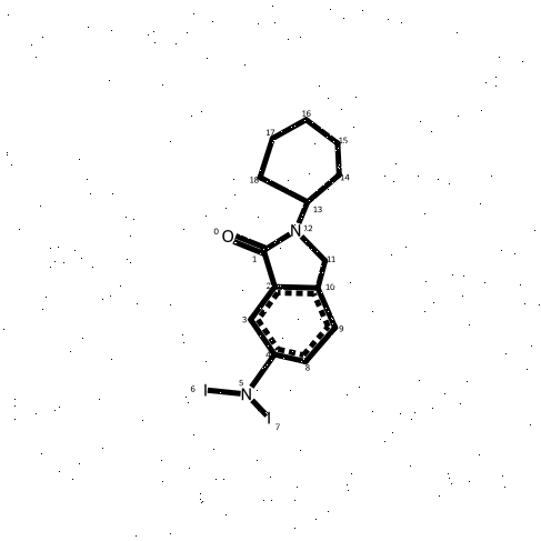 O=C1c2cc(N(I)I)ccc2CN1C1CCCCC1